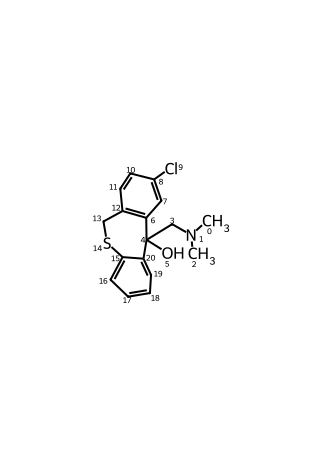 CN(C)CC1(O)c2cc(Cl)ccc2CSc2ccccc21